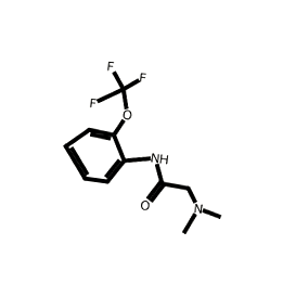 CN(C)CC(=O)Nc1ccccc1OC(F)(F)F